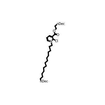 CCCCCCCCCCCCCCCCCCCCCCCCN1C=CC=C(C(=O)OCCCCCCCCCCCC)C1Cl